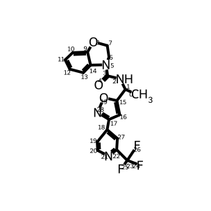 CC(NC(=O)N1CCOc2ccccc21)c1cc(-c2ccnc(C(F)(F)F)c2)no1